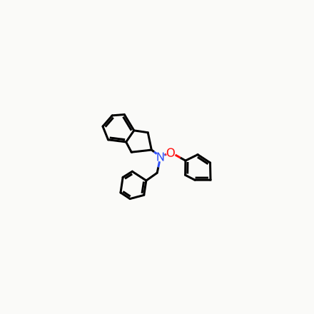 c1ccc(CN(Oc2ccccc2)C2Cc3ccccc3C2)cc1